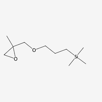 CC1(COCCC[Si](C)(C)C)CO1